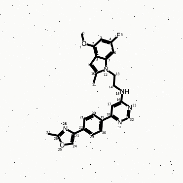 COc1cc(F)cc2c1cc(C)n2CCNc1cc(-c2ccc(-c3coc(C)n3)cc2)ncn1